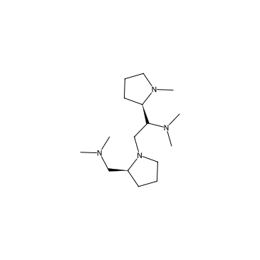 CN(C)C[C@@H]1CCCN1CC([C@H]1CCCN1C)N(C)C